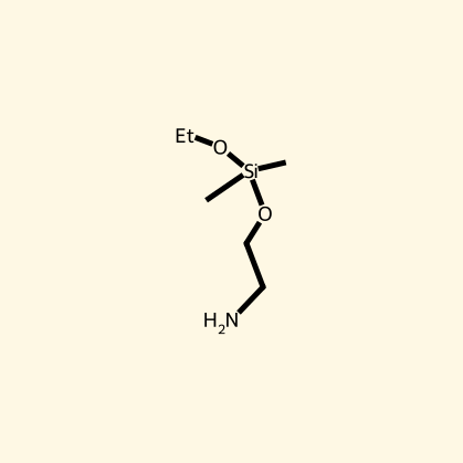 CCO[Si](C)(C)OCCN